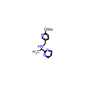 COc1ccc(CNC(C)c2ncccn2)cn1